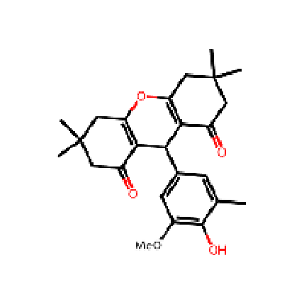 COc1cc(C2C3=C(CC(C)(C)CC3=O)OC3=C2C(=O)CC(C)(C)C3)cc(C)c1O